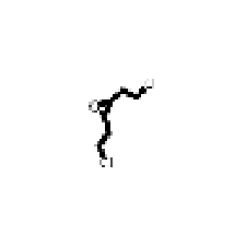 ClCCC1OC1CCCl